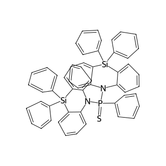 S=P(c1ccccc1)(N1c2ccccc2[Si](c2ccccc2)(c2ccccc2)c2ccccc21)N1c2ccccc2[Si](c2ccccc2)(c2ccccc2)c2ccccc21